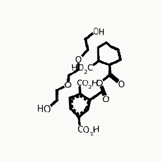 O=C(O)c1ccc(C(=O)O)c(C(=O)OC(=O)C2CCCCC2C(=O)O)c1.OCCOCCOCCO